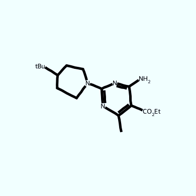 CCOC(=O)c1c(C)nc(N2CCC(C(C)(C)C)CC2)nc1N